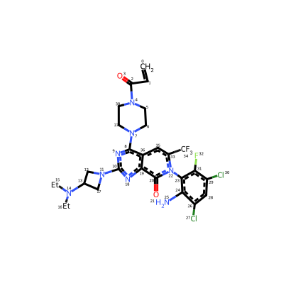 C=CC(=O)N1CCN(c2nc(N3CC(N(CC)CC)C3)nc3c(=O)n(-c4c(N)c(Cl)cc(Cl)c4F)c(C(F)(F)F)cc23)CC1